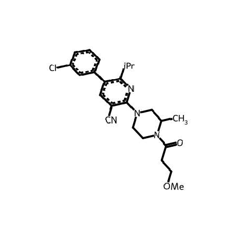 COCCC(=O)N1CCN(c2nc(C(C)C)c(-c3cccc(Cl)c3)cc2C#N)CC1C